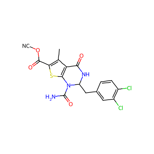 Cc1c(C(=O)OC#N)sc2c1C(=O)NC(Cc1ccc(Cl)c(Cl)c1)N2C(N)=O